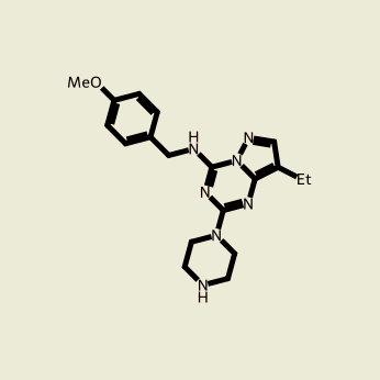 CCc1cnn2c(NCc3ccc(OC)cc3)nc(N3CCNCC3)nc12